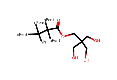 CCCCCC(CCC)(CCCCC)C(CCCCC)(CCCCC)C(=O)OCC(CO)(CO)CO